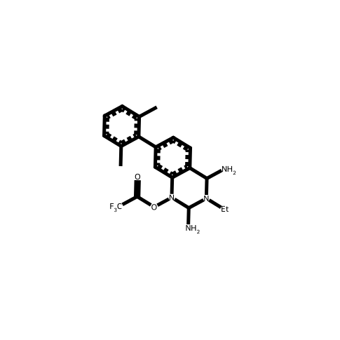 CCN1C(N)c2ccc(-c3c(C)cccc3C)cc2N(OC(=O)C(F)(F)F)C1N